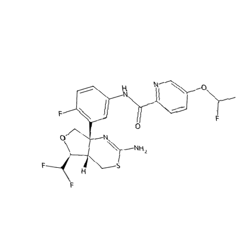 CC(F)Oc1ccc(C(=O)Nc2ccc(F)c([C@]34CO[C@H](C(F)F)[C@H]3CSC(N)=N4)c2)nc1